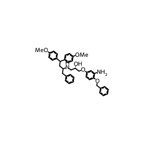 COc1ccc(C(CC(Cc2ccccc2)NC[C@H](O)COc2ccc(OCc3ccccc3)c(N)c2)c2ccc(OC)cc2)cc1